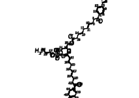 C=Cc1ccc(C(=O)CCCCCCCCC(=O)OC[C@H](COP(=O)(O)OCCN)OC(=O)CCCCCCCCC(=O)c2ccc(C=C)cc2)cc1